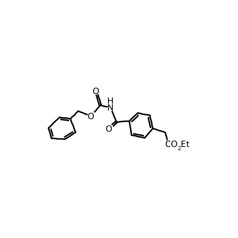 CCOC(=O)Cc1ccc(C(=O)NC(=O)OCc2ccccc2)cc1